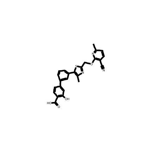 Cc1ccc(C#N)c(OCc2nc(C)c(-c3cccc(-c4ccc(C(=O)O)c(O)c4)c3)s2)n1